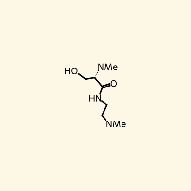 CNCCNC(=O)[C@H](CO)NC